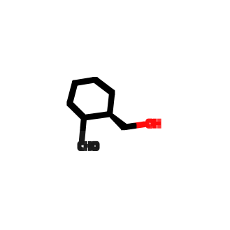 O=CC1CCCC[C@H]1CO